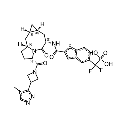 Cn1cnnc1C1CN(C(=O)[C@@H]2CC[C@@H]3C[C@@H]4C[C@@H]4C[C@H](NC(=O)c4cc5cc(C(F)(F)P(=O)(O)O)ccc5s4)C(=O)N32)C1